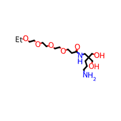 CCOCCOCCOCCOCCC(=O)NCC(CO)(CO)CCCN